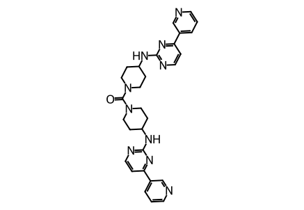 O=C(N1CCC(Nc2nccc(-c3cccnc3)n2)CC1)N1CCC(Nc2nccc(-c3cccnc3)n2)CC1